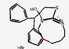 Br.OC1(C(c2ccccc2)c2ccccc2)CS/C2=N/CCCCCN21